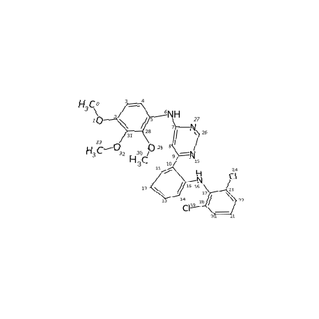 COc1ccc(Nc2cc(-c3ccccc3Nc3c(Cl)cccc3Cl)ncn2)c(OC)c1OC